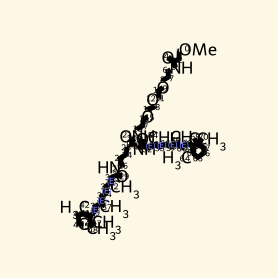 COCCC(=O)NCCCOCCOCCOCCCNC(=O)[C@H](CCCCNC(=O)/C=C(C)/C=C/C=C(C)/C=C/C1=C(C)CCCC1(C)C)NC(=O)/C=C(C)/C=C/C=C(C)/C=C/C1=C(C)CCCC1(C)C